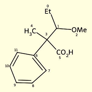 CCC(OC)C(C)(C(=O)O)c1ccccc1